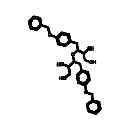 OCC(O)C(Cc1ccc(OCc2ccccc2)cc1)OC(Cc1ccc(OCc2ccccc2)cc1)C(O)CO